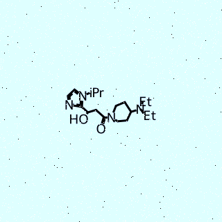 CCN(CC)C1CCN(C(=O)CC(O)c2nccn2C(C)C)CC1